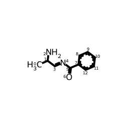 CC(N)/C=N/C(=O)c1ccccc1